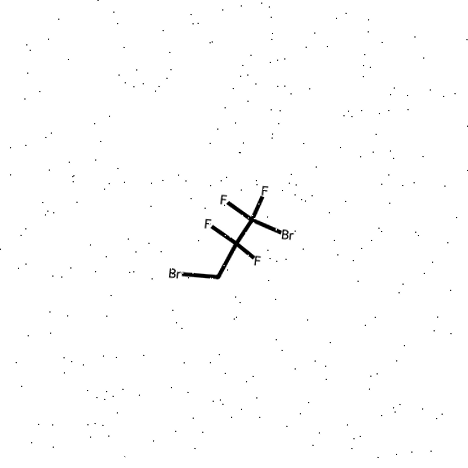 FC(F)(Br)C(F)(F)CBr